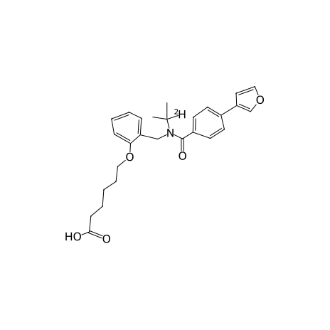 [2H]C(C)(C)N(Cc1ccccc1OCCCCCC(=O)O)C(=O)c1ccc(-c2ccoc2)cc1